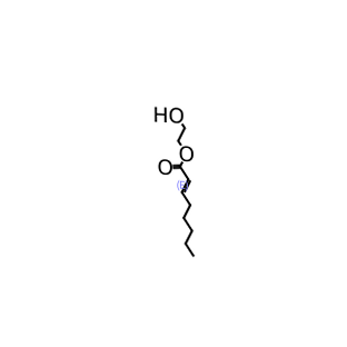 CCCCC/C=C/C(=O)OCCO